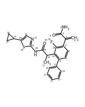 C=C(C(N)=O)c1ccc(-c2ccccc2)c(C(C)C(=O)Nc2ncc(C3CC3)s2)c1F